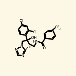 C[C@@H](CNC(=O)c1ccc(C(F)(F)F)cc1)C(O)(Cn1cncn1)c1ccc(Cl)cc1Cl